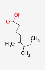 CCC(C)C(C)CCCC(=O)O